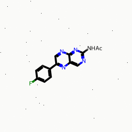 CC(=O)Nc1ncc2nc(-c3ccc(F)cc3)cnc2n1